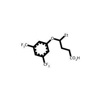 CCC(CCC(=O)O)Oc1cc(C(F)(F)F)cc(C(F)(F)F)c1